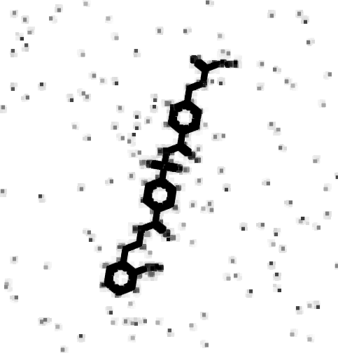 CCCCCC(=O)OCc1ccc(C(=O)NS(=O)(=O)c2ccc(C(=O)NCCc3ccccc3OC)cc2)cn1